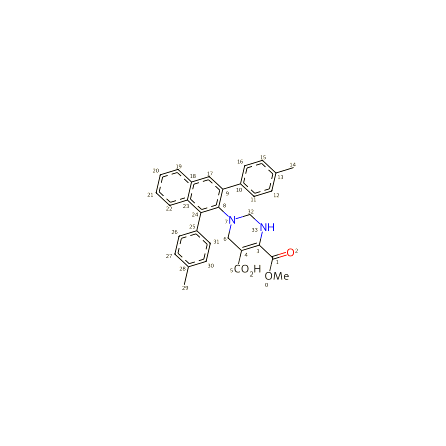 COC(=O)C1=C(C(=O)O)CN(c2c(-c3ccc(C)cc3)cc3ccccc3c2-c2ccc(C)cc2)CN1